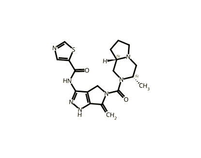 C=C1c2[nH]nc(NC(=O)c3cncs3)c2CN1C(=O)N1C[C@@H]2CCCN2C[C@@H]1C